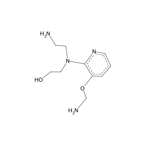 NCCN(CCO)c1ncccc1OCN